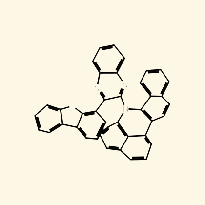 c1ccc2c3c(ccc2c1)-c1cccc2cccc(c12)N3c1nc2ccccc2nc1-c1cccc2c1sc1ccccc12